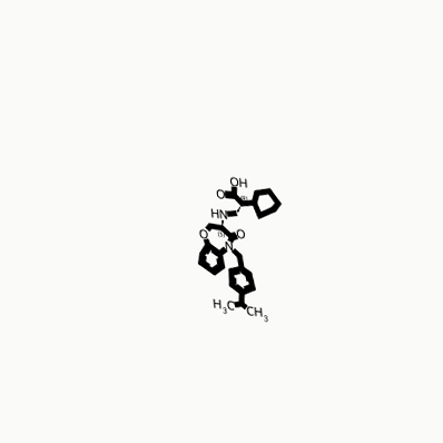 CC(C)c1ccc(CN2C(=O)[C@@H](NC[C@H](C(=O)O)C3CCCCC3)COc3ccccc32)cc1